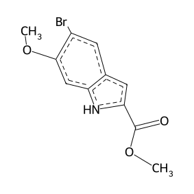 COC(=O)c1cc2cc(Br)c(OC)cc2[nH]1